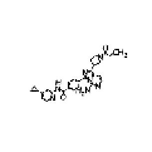 C=CC(=O)N1CCC(c2nc(-c3ccc(C(=O)Nc4cc(C5CC5)ccn4)cc3)n3c(N)nccc23)C1